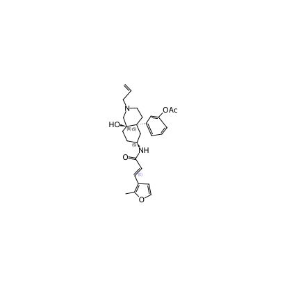 C=CCN1CC[C@@]2(c3cccc(OC(C)=O)c3)C[C@@H](NC(=O)/C=C/c3ccoc3C)CC[C@]2(O)C1